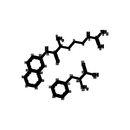 N=C(N)NCCCC(N)C(=O)Nc1ccc2ccccc2c1.NC(Cc1ccccc1)C(=O)O